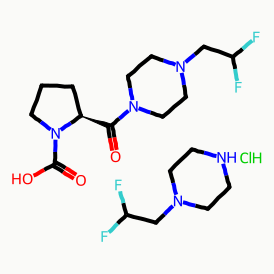 Cl.FC(F)CN1CCNCC1.O=C([C@@H]1CCCN1C(=O)O)N1CCN(CC(F)F)CC1